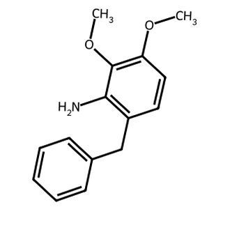 COc1ccc(Cc2ccccc2)c(N)c1OC